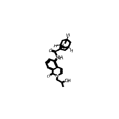 CC(O)Cn1ccc2c(NC(=O)C34C[C@@H]5C[C@@H](C[C@@H]3C5)C4)cccc2c1=O